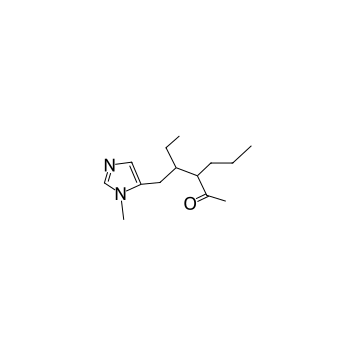 CCCC(C(C)=O)C(CC)Cc1cncn1C